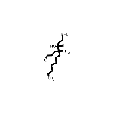 BCC[C@@](O)(I)C(C)(CCCC)CCCCCCC